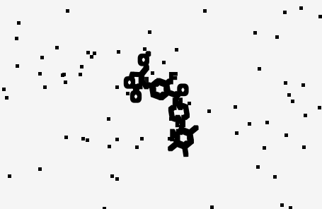 COCC1COC(=O)N1c1ccc(C(=O)N2CCN(c3nc(C)c(C)cc3C)CC2)c(F)c1